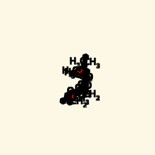 C=Cc1nc(N2C(=O)c3cc4c(cc3C2O)C(=O)N(c2cccc(N(c3ccccc3)c3ccccc3)c2OC(=O)C(=C)C)C4=O)nc(-n2c(=O)c3cc4c(=O)n(-c5cccc(N(c6ccc(C(C)(C)c7ccccc7)cc6)c6ccc(C(C)(C)c7ccccc7)cc6)c5OC(=O)C(=C)C)c(=O)c4cc3c2=O)n1